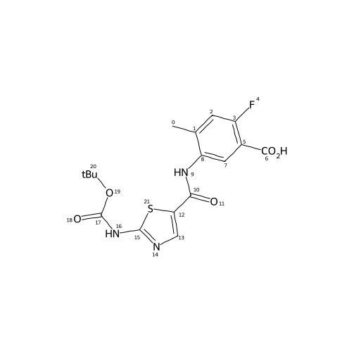 Cc1cc(F)c(C(=O)O)cc1NC(=O)c1cnc(NC(=O)OC(C)(C)C)s1